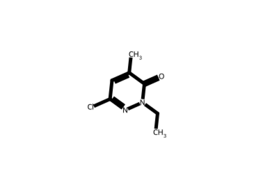 CCn1nc(Cl)cc(C)c1=O